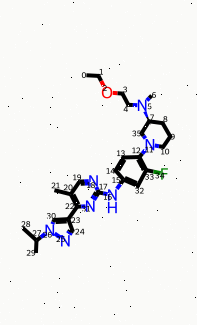 CCOCCN(C)[C@H]1CCCN(c2ccc(Nc3ncc(C)c(-c4cnn(C(C)C)c4)n3)cc2F)C1